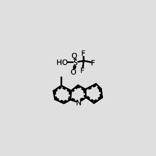 Cc1cccc2nc3ccccc3cc12.O=S(=O)(O)C(F)(F)F